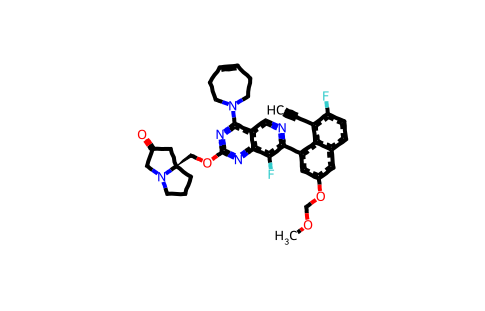 C#Cc1c(F)ccc2cc(OCOC)cc(-c3ncc4c(N5CCC=CCC5)nc(OC[C@@]56CCCN5CC(=O)C6)nc4c3F)c12